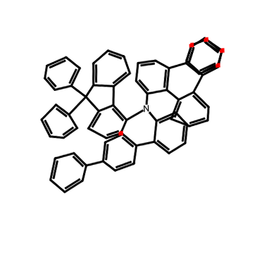 c1ccc(-c2ccc(-c3ccccc3N(c3cccc(-c4ccccc4)c3-c3ccccc3-c3ccccc3)c3cccc4c3-c3ccccc3C4(c3ccccc3)c3ccccc3)cc2)cc1